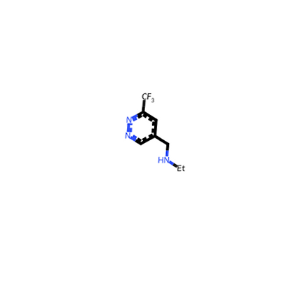 CCNCc1cnnc(C(F)(F)F)c1